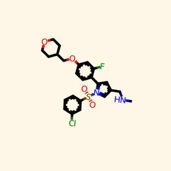 CNCc1cc(-c2ccc(OCC3CCOCC3)cc2F)n(S(=O)(=O)c2cccc(Cl)c2)c1